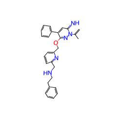 C=C(C)n1nc(OCc2cccc(CNCCc3ccccc3)n2)c(-c2ccccc2)cc1=N